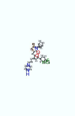 Cl.O=C1/C(=C\c2oc(-c3ccc(F)cc3)cc2CCCN2CCNCC2)SC(=S)N1C1CC2CCC1C2